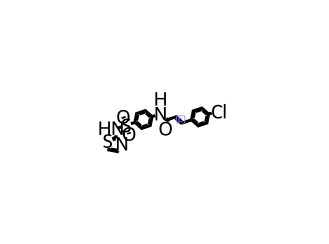 O=C(/C=C/c1ccc(Cl)cc1)Nc1ccc(S(=O)(=O)Nc2nccs2)cc1